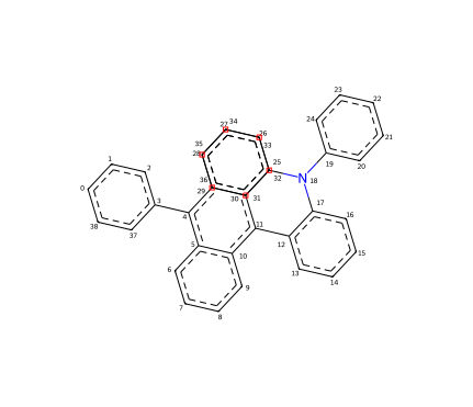 c1ccc(-c2c3ccccc3c(-c3ccccc3N(c3ccccc3)c3ccccc3)c3ccccc23)cc1